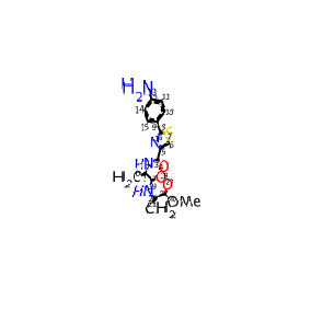 C=C(NC(=O)c1csc(-c2ccc(N)cc2)n1)C(=O)NC(=C)C(=O)OC